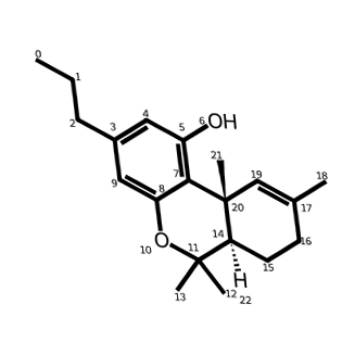 CCCc1cc(O)c2c(c1)OC(C)(C)[C@@H]1CCC(C)=C[C@@]21C